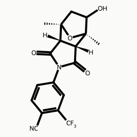 C[C@]12CC(O)[C@](C)(O1)[C@@H]1C(=O)N(c3ccc(C#N)c(C(F)(F)F)c3)C(=O)[C@@H]12